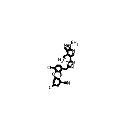 C=Cc1c(-c2nnc(Cc3ccc(Cl)c(Oc4cc(Cl)cc(C#N)c4)c3F)o2)cnc2c1cnn2C